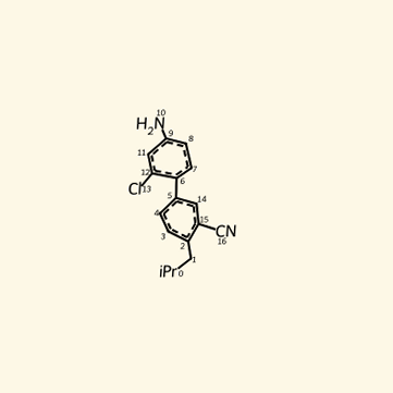 CC(C)Cc1ccc(-c2ccc(N)cc2Cl)cc1C#N